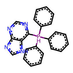 c1ccc([PH](c2ccccc2)(c2ccccc2)c2ncnc3nc[nH]c23)cc1